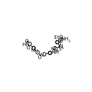 CCC(c1cccc(-c2nc(C)sc2-c2ccnc(Nc3ccc(C4CCN(C(=O)C5CCN(c6ccc(C7CCC(=O)NC7=O)cn6)CC5)CC4)cc3)n2)c1F)S(N)(=O)=O